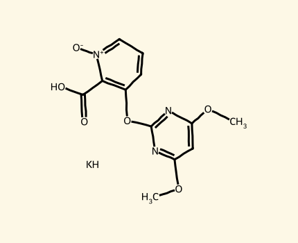 COc1cc(OC)nc(Oc2ccc[n+]([O-])c2C(=O)O)n1.[KH]